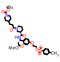 COC(=O)C[C@H](NC(=O)[C@@H]1CCCN(C(=O)CCC2CCN(C(=O)OC(C)(C)C)CC2)C1)c1ccc(OCCOS(=O)(=O)c2ccc(C)cc2)cc1